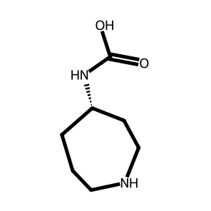 O=C(O)N[C@H]1CCCNCC1